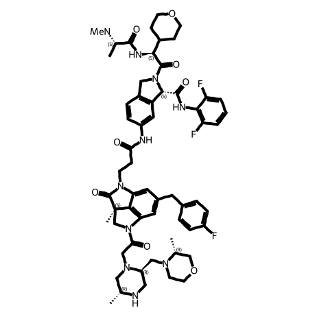 CN[C@@H](C)C(=O)N[C@H](C(=O)N1Cc2ccc(NC(=O)CCN3C(=O)[C@]4(C)CN(C(=O)CN5C[C@@H](C)NC[C@@H]5CN5CCOC[C@H]5C)c5cc(Cc6ccc(F)cc6)cc3c54)cc2[C@H]1C(=O)Nc1c(F)cccc1F)C1CCOCC1